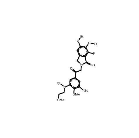 CCOc1cc2c(c(F)c1OCC)C(=N)N(CC(=O)c1cc(N(CC)CCOC)c(OC)c(C(C)(C)C)c1)C2